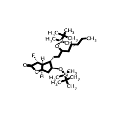 CCCCCC(CC[C@H]1[C@H]2[C@@H](C[C@@H]1O[Si](C)(C)C(C)(C)C)OC(=O)[C@@H]2F)O[Si](C)(C)C(C)(C)C